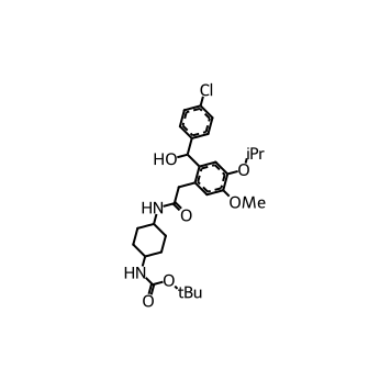 COc1cc(CC(=O)NC2CCC(NC(=O)OC(C)(C)C)CC2)c(C(O)c2ccc(Cl)cc2)cc1OC(C)C